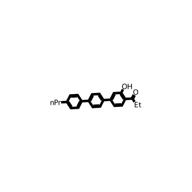 CCCc1ccc(-c2ccc(-c3ccc(C(=O)CC)c(O)c3)cc2)cc1